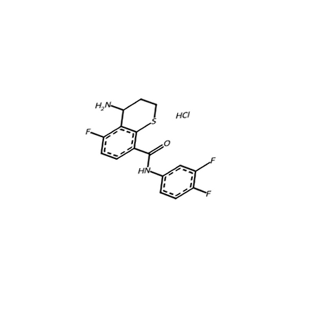 Cl.NC1CCSc2c(C(=O)Nc3ccc(F)c(F)c3)ccc(F)c21